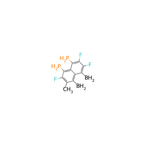 Bc1c(C)c(F)c(P)c2c(P)c(F)c(F)c(B)c12